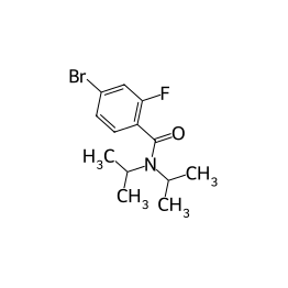 CC(C)N(C(=O)c1ccc(Br)cc1F)C(C)C